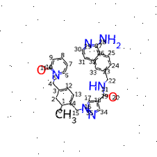 CC1CC(Cn2ccccc2=O)=CC=C1Cn1cc(C(=O)NCc2ccc3c(N)nccc3c2)cn1